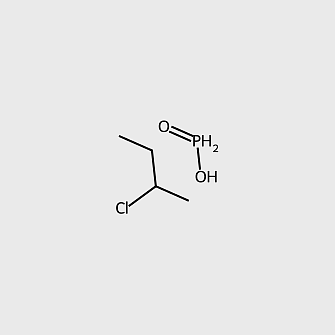 CCC(C)Cl.O=[PH2]O